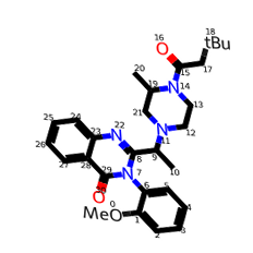 COc1ccccc1-n1c(C(C)N2CCN(C(=O)CC(C)(C)C)C(C)C2)nc2ccccc2c1=O